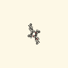 C=CCN(C(=O)c1ccccc1)c1ncnc2c1ncn2C1O[C@@H]2CO[P@@](=O)(SCc3ccccc3[N+](=O)[O-])O[C@@H]3[C@@H](CO[P@@](=O)(SCc4ccccc4[N+](=O)[O-])C[C@H]2[C@H]1F)OC(n1cnc2c(N(CC=C)C(=O)c4ccccc4)ncnc21)[C@@H]3F